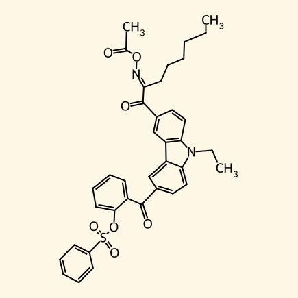 CCCCCC/C(=N\OC(C)=O)C(=O)c1ccc2c(c1)c1cc(C(=O)c3ccccc3OS(=O)(=O)c3ccccc3)ccc1n2CC